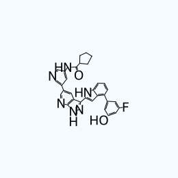 O=C(Nc1cncc(-c2cnc3[nH]nc(-c4cc5c(-c6cc(O)cc(F)c6)cccc5[nH]4)c3c2)c1)C1CCCC1